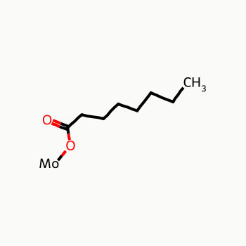 CCCCCCCC(=O)[O][Mo]